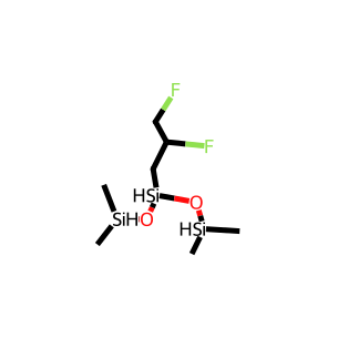 C[SiH](C)O[SiH](CC(F)CF)O[SiH](C)C